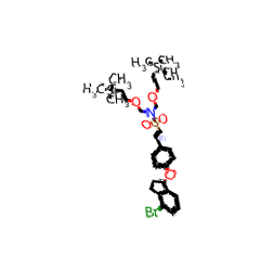 C[Si](C)(C)CCOCN(COCC[Si](C)(C)C)S(=O)(=O)/C=C/c1ccc(O[C@@H]2CCc3c(Br)cccc32)cc1